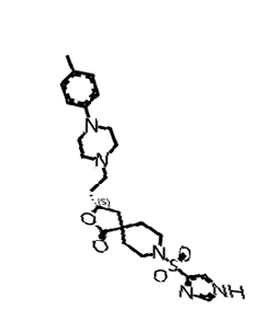 Cc1ccc(N2CCN(CC[C@@H]3CC4(CCN(S(=O)(=O)c5c[nH]cn5)CC4)C(=O)O3)CC2)cc1